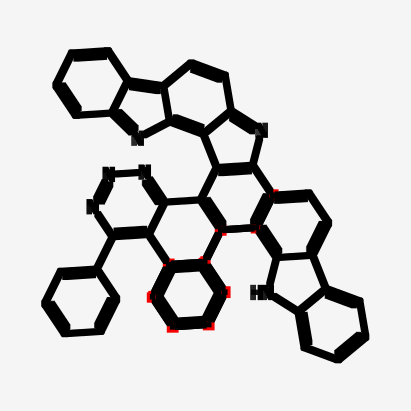 c1ccc(-c2ccc3c(c2-c2nnnc(-c4ccccc4)c2-c2ccccc2Cc2cccc4c2[nH]c2ccccc24)-c2c4c(ccc2=N3)=c2ccccc2=N4)cc1